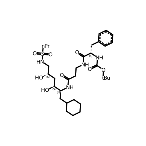 CCCS(=O)(=O)NC[C@@H](O)C[C@H](O)[C@H](CC1CCCCC1)NC(=O)CCNC(=O)[C@H](Cc1ccccc1)NC(=O)OC(C)(C)C